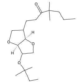 CCCC(C)(C)C(=O)CCC1CO[C@@H]2C(OC(C)(C)CC)CO[C@H]12